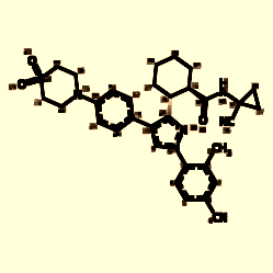 Cc1cc(C#N)ccc1-n1cc(-c2ccc(N3CCS(=O)(=O)CC3)cc2)c([C@@H]2CCCC[C@H]2C(=O)NC2(C#N)CC2)n1